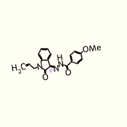 C=CCN1C(=O)/C(=N/NC(=O)c2ccc(OC)cc2)c2ccccc21